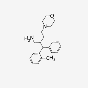 Cc1ccccc1C(c1ccccc1)C(CN)CCN1CCOCC1